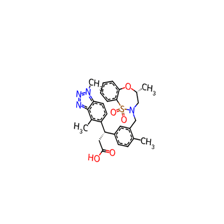 Cc1ccc([C@H](CC(=O)O)c2ccc3c(nnn3C)c2C)cc1CN1C[C@@H](C)Oc2ccccc2S1(=O)=O